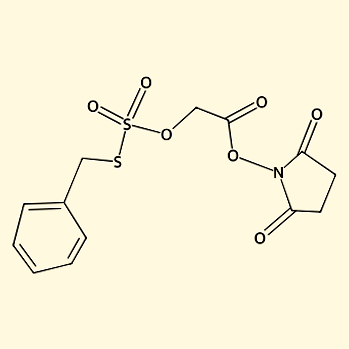 O=C(COS(=O)(=O)SCc1ccccc1)ON1C(=O)CCC1=O